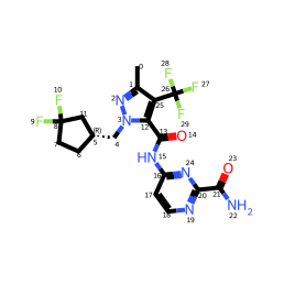 Cc1nn(C[C@@H]2CCC(F)(F)C2)c(C(=O)Nc2ccnc(C(N)=O)n2)c1C(F)(F)F